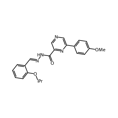 COc1ccc(-c2cncc(C(=O)NN=Cc3ccccc3OC(C)C)n2)cc1